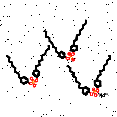 CCCCCCCCCc1ccc(OP(=O)([O-])Oc2ccc(CCCCCCCCC)cc2)cc1.CCCCCCCCCc1ccc(OP(=O)([O-])Oc2ccc(CCCCCCCCC)cc2)cc1.CCCCCCCCCc1ccc(OP(=O)([O-])Oc2ccc(CCCCCCCCC)cc2)cc1.[Nd+3]